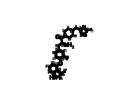 Cc1nc(CN2CCN(C(=O)C(N)Cc3ccc(Oc4ccnc5[nH]cc(C)c45)c(F)c3)CC2)cs1